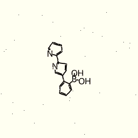 OB(O)c1ccccc1-c1ccc(-c2ccccn2)nc1